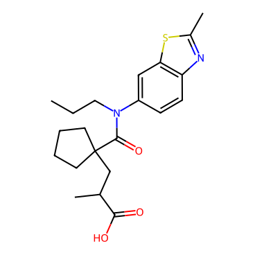 CCCN(C(=O)C1(CC(C)C(=O)O)CCCC1)c1ccc2nc(C)sc2c1